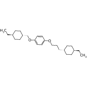 CC[C@H]1CC[C@H](CCCOc2ccc(OC[C@H]3CC[C@H](CC)CC3)cc2)CC1